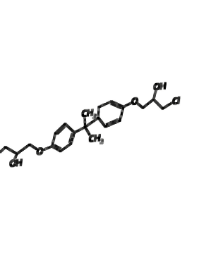 CC(C)(c1ccc(OCC(O)CCl)cc1)C1C=CC(OCC(O)CCl)=CC1